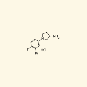 Cl.NC1CCN(c2ccc(I)c(Br)c2)C1